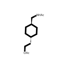 CC(=O)NC[C@H]1CC[C@H](CCOC(C)=O)CC1